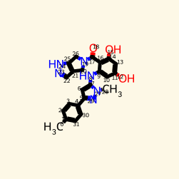 Cc1ccc(-c2cc(Nc3cc(O)cc(O)c3C(=O)N3Cc4cn[nH]c4C3)n(C)n2)cc1